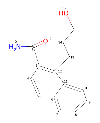 NC(=O)c1ccc2ccccc2c1C[CH]CO